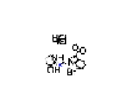 COC(=O)c1cn(C/C=C/[C@H]2NCCC[C@@H]2O)c2c(Br)cccc12.Cl.Cl